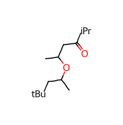 CC(CC(=O)C(C)C)OC(C)CC(C)(C)C